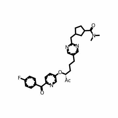 CC(=O)[C@@H](CCCc1cnc(CC2CCC(C(=O)N(C)C)C2)nc1)Oc1ccc(C(=O)c2ccc(F)cc2)nc1